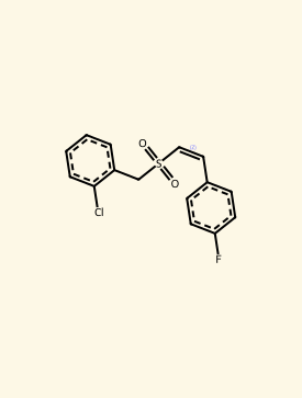 O=S(=O)(/C=C\c1ccc(F)cc1)Cc1ccccc1Cl